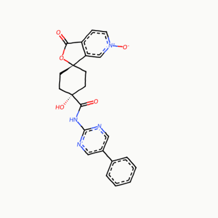 O=C1O[C@]2(CC[C@](O)(C(=O)Nc3ncc(-c4ccccc4)cn3)CC2)c2c[n+]([O-])ccc21